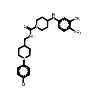 O=C(NCC1CCN(c2ccc(Cl)cc2)CC1)N1CCC(Nc2ccc([N+](=O)[O-])c(C(F)(F)F)c2)CC1